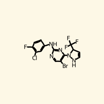 Fc1ccc(Nc2ncc(Br)c(N3NC=CC3C(F)(F)F)n2)cc1Cl